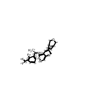 C[C@@H](Nc1nncc2ncc(N3C4CCC3COC4)cc12)c1cccc(C(F)F)c1F